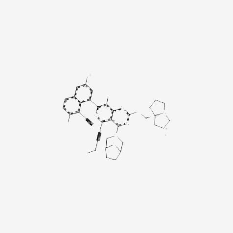 C#Cc1c(F)ccc2cc(O)cc(-c3nc(C#CCC)c4c(N5CC6CCC(C5)N6)nc(OC[C@@]56CCCN5C[C@H](F)C6)nc4c3F)c12